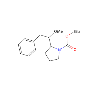 COC(Cc1ccccc1)C1CCCN1C(=O)OC(C)(C)C